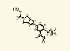 CN(N=O)c1nc(C2=CC3CN(C(=O)CO)CC3C2)ccc1NC[PH](C)(C)C